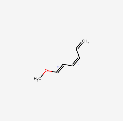 C=C/C=C\C=C\OC